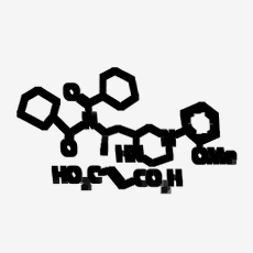 COc1ccccc1N1CCNC(C[C@@H](C)N(C(=O)C2CCCCC2)C(=O)C2CCCCC2)C1.O=C(O)/C=C/C(=O)O